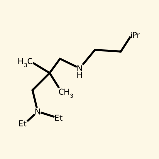 CCN(CC)CC(C)(C)CNCCC(C)C